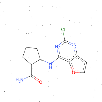 NC(=O)C1CCCC1Nc1nc(Cl)nc2ccoc12